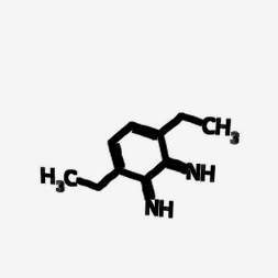 CCC1=CC=C(CC)C(=N)C1=N